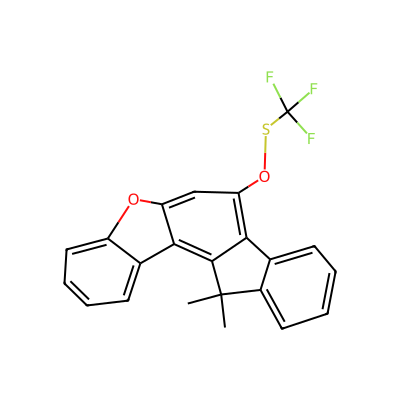 CC1(C)c2ccccc2-c2c(OSC(F)(F)F)cc3oc4ccccc4c3c21